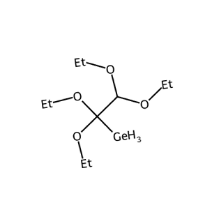 CCOC(OCC)[C]([GeH3])(OCC)OCC